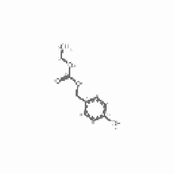 CCOC(=O)OCc1ccc(O)cc1